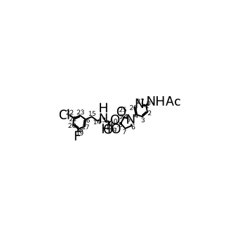 CC(=O)Nc1ccc(N2CC[C@@](O)(OC(=O)NCCc3cc(F)cc(Cl)c3)C2=O)cn1